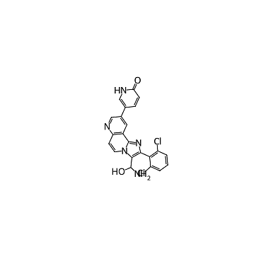 NC(O)c1c(-c2c(Cl)cccc2Cl)nc2c3cc(-c4ccc(=O)[nH]c4)cnc3ccn12